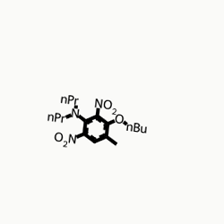 CCCCOc1c(C)cc([N+](=O)[O-])c(N(CCC)CCC)c1[N+](=O)[O-]